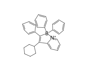 c1ccc(C2=C(C3CCCCC3)c3cccc[n+]3[B-]2(c2ccccc2)c2ccccc2)cc1